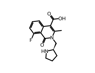 Cc1c(C(=O)O)c2cccc(F)c2c(=O)n1C[C@H]1CCCN1